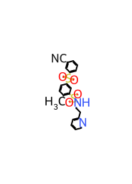 Cc1ccc(S(=O)(=O)c2cccc(C#N)c2)cc1S(=O)(=O)NCCc1ccccn1